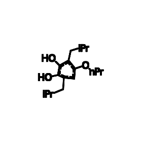 CCCOc1cc(CC(C)C)c(O)c(O)c1CC(C)C